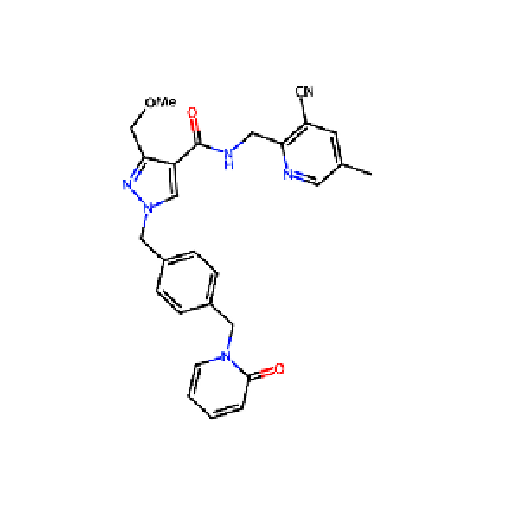 COCc1nn(Cc2ccc(Cn3ccccc3=O)cc2)cc1C(=O)NCc1ncc(C)cc1C#N